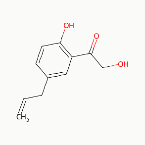 C=CCc1ccc(O)c(C(=O)CO)c1